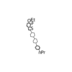 CCCc1ccc(C2CCC(C3CCC(c4cc5ccc(OCC)c(F)c5s4)CC3)CC2)cc1